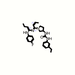 C\C=C/C(=N\C(=C\CC)Nc1ccc(F)cc1)N1CCC(NC(=O)Nc2cccc(CC)c2)C1